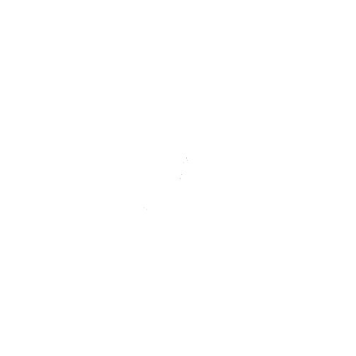 O=P1(c2ccccc2)c2ccccc2-c2c1ccc1c3ccccc3n(-c3c4ccccc4c(-c4ccccc4)c4ccccc34)c21